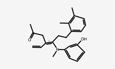 C=C/C(CC(C)=O)=C(/CCc1cccc(C)c1C)N(C)c1cccc(O)c1